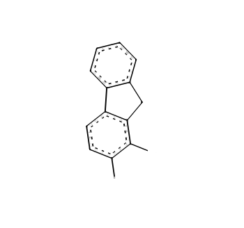 CCc1ccc2c(c1[O])Cc1ccccc1-2